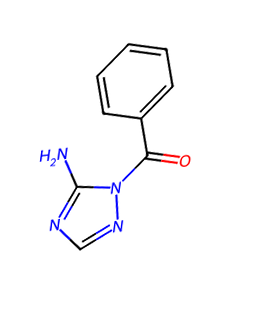 Nc1ncnn1C(=O)c1ccccc1